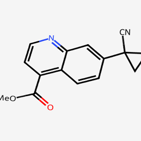 COC(=O)c1ccnc2cc(C3(C#N)CC3)ccc12